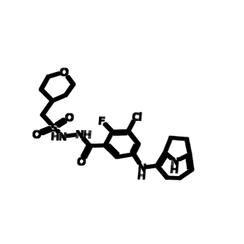 O=C(NNS(=O)(=O)CC1CCOCC1)c1cc(NC2=C3CCC(=CCC2)N3)cc(Cl)c1F